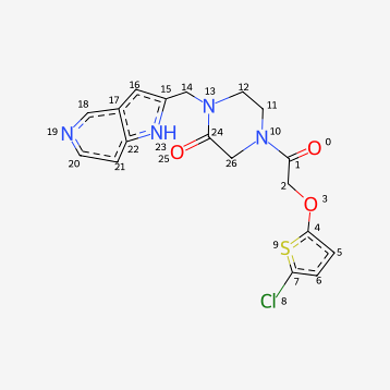 O=C(COc1ccc(Cl)s1)N1CCN(Cc2cc3cnccc3[nH]2)C(=O)C1